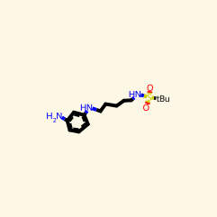 CC(C)(C)S(=O)(=O)NCCCCCNc1cccc(N)c1